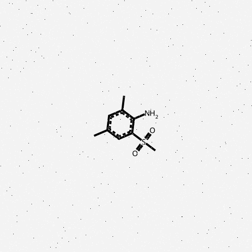 Cc1cc(C)c(N)c(S(C)(=O)=O)c1